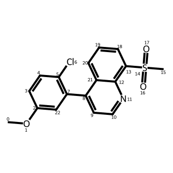 COc1ccc(Cl)c(-c2ccnc3c(S(C)(=O)=O)cccc23)c1